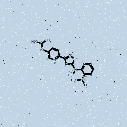 CC(C)Oc1ccc(-c2nsc(N(C)c3ncccc3N(C)C)n2)nc1